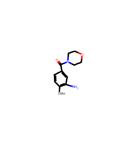 COc1ccc(C(=O)N2CCOCC2)cc1N